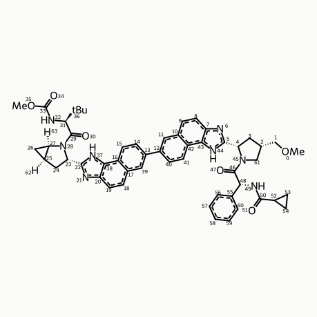 COC[C@H]1C[C@@H](c2nc3ccc4cc(-c5ccc6c(ccc7nc([C@@H]8C[C@H]9C[C@H]9N8C(=O)[C@@H](NC(=O)OC)C(C)(C)C)[nH]c76)c5)ccc4c3[nH]2)N(C(=O)[C@H](NC(=O)C2CC2)c2ccccc2)C1